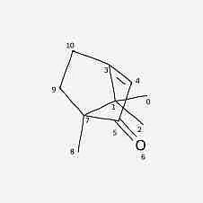 CC1(C)C2=CC(=O)C1(C)CC2